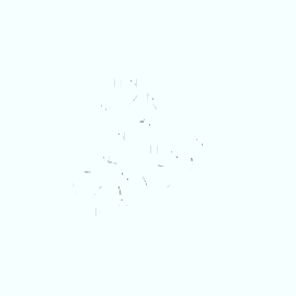 CCNC(=O)Nc1cccc(-n2c(C(C)Nc3ncnc(N)c3C#N)nc3cccc(Br)c3c2=O)c1